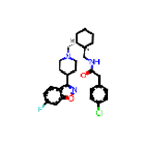 O=C(Cc1ccc(Cl)cc1)NC[C@@H]1CCCC[C@H]1CN1CCC(c2noc3cc(F)ccc23)CC1